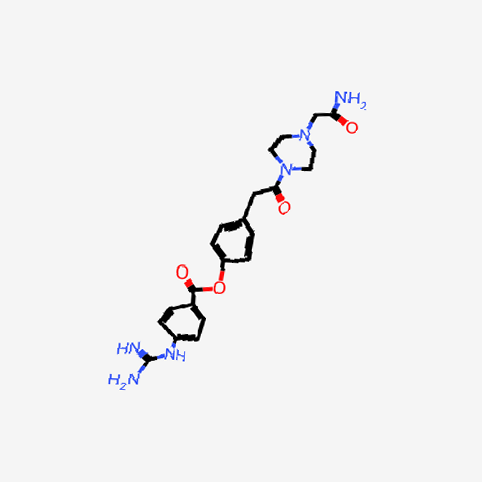 N=C(N)Nc1ccc(C(=O)Oc2ccc(CC(=O)N3CCN(CC(N)=O)CC3)cc2)cc1